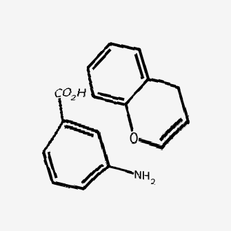 C1=COc2ccccc2C1.Nc1cccc(C(=O)O)c1